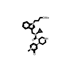 COCCCn1cc(CN(C(=O)[C@@H]2CNCC[C@H]2c2ccn(C)c(=O)c2)C2CC2)c2ccccc21